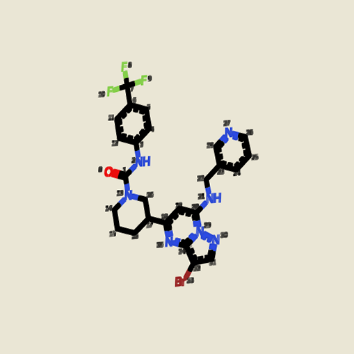 O=C(Nc1ccc(C(F)(F)F)cc1)N1CCCC(c2cc(NCc3cccnc3)n3ncc(Br)c3n2)C1